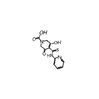 O=C1CN(C(=O)O)CC(O)=C1C(=S)Nc1ccccn1